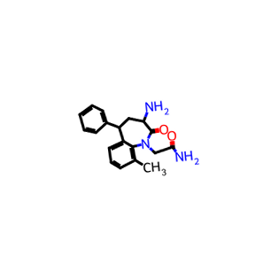 Cc1cccc2c1N(CC(N)=O)C(=O)C(N)CC2c1ccccc1